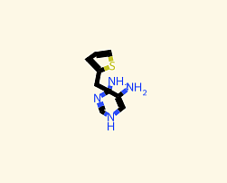 NC1=CNC=NC1(N)Cc1cccs1